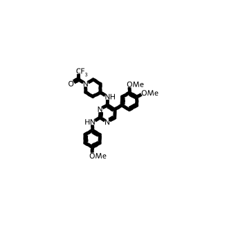 COc1ccc(Nc2ncc(-c3ccc(OC)c(OC)c3)c(NC3CCN(C(=O)C(F)(F)F)CC3)n2)cc1